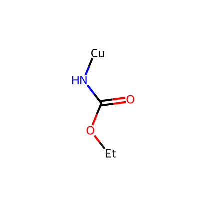 CCOC(=O)[NH][Cu]